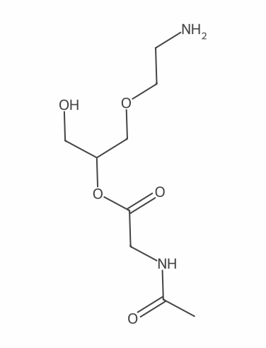 CC(=O)NCC(=O)OC(CO)COCCN